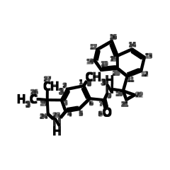 Cc1cc2c(cc1C(=O)NC1(c3cccc4ccccc34)CC1)NCC2(C)C